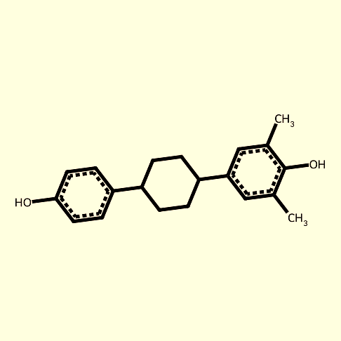 Cc1cc(C2CCC(c3ccc(O)cc3)CC2)cc(C)c1O